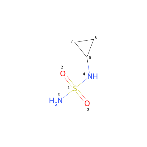 NS(=O)(=O)NC1CC1